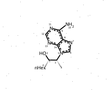 CCCCCC[C@H](O)[C@@H](C)n1cnc2c(N)ncnc21